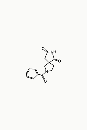 O=C1CC2(CCN(C(=O)c3ccccc3)C2)C(=O)N1